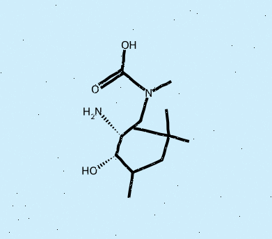 CC(CC(C)(C)C)[C@H](O)[C@H](N)CN(C)C(=O)O